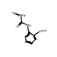 COc1ccccc1NC(=O)NF